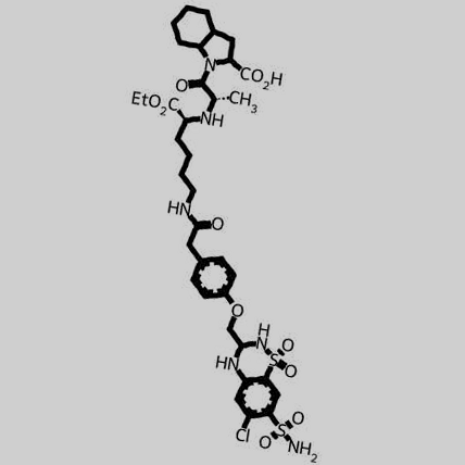 CCOC(=O)[C@H](CCCCNC(=O)Cc1ccc(OCC2Nc3cc(Cl)c(S(N)(=O)=O)cc3S(=O)(=O)N2)cc1)N[C@@H](C)C(=O)N1C(C(=O)O)CC2CCCCC21